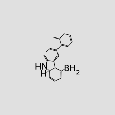 BC1=CC=C[C@H]2NC(=C)/C(=C\C(=C/C)C3=CC=CCC3C)C12